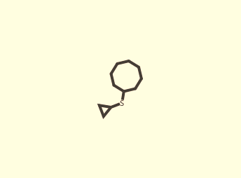 C1CCCC(SC2CC2)CCC1